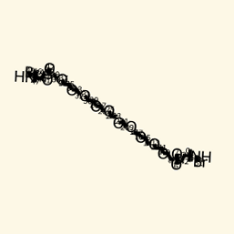 CC(C)(CCS(=O)(=O)CCOCCOCCOCCOCCOCCOCCOCCOCCOCCOCCS(=O)(=O)CCC(C)(C)NBr)NBr